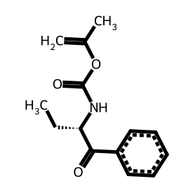 C=C(C)OC(=O)N[C@@H](CC)C(=O)c1ccccc1